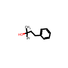 CC(C)C(C)(O)CCc1ccccc1